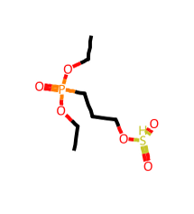 CCOP(=O)(CCCO[SH](=O)=O)OCC